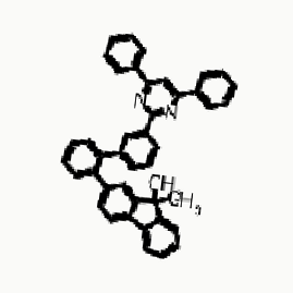 CC1(C)c2ccccc2-c2ccc(-c3ccccc3-c3cccc(-c4nc(-c5ccccc5)cc(-c5ccccc5)n4)c3)cc21